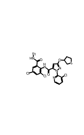 CCNC(=O)c1cc(Cl)cc(Cl)c1NC(=O)c1cc(OC2CCSC2)nn1-c1ncccc1Cl